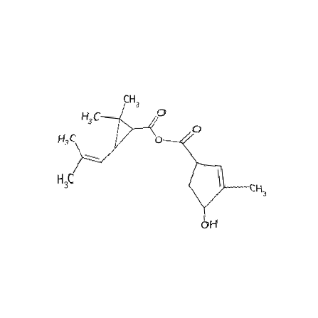 CC(C)=CC1C(C(=O)OC(=O)C2C=C(C)C(O)C2)C1(C)C